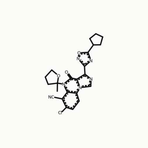 CC1(n2c(=O)c3c(-c4noc(C5CCCC5)n4)ncn3c3ccc(Cl)c(C#N)c32)CCCO1